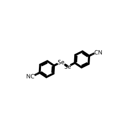 N#Cc1ccc([Se][Se]c2ccc(C#N)cc2)cc1